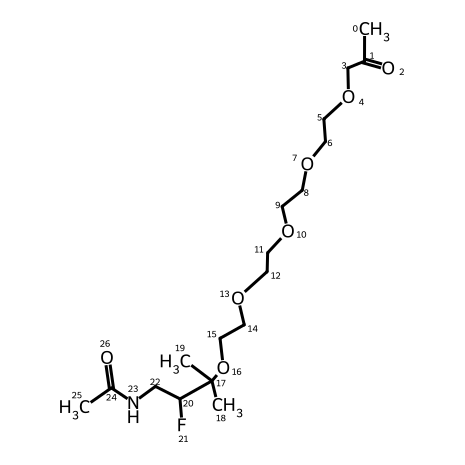 CC(=O)COCCOCCOCCOCCOC(C)(C)C(F)CNC(C)=O